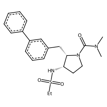 CCS(=O)(=O)N[C@H]1CCN(C(=O)N(C)C)[C@H]1Cc1cccc(-c2ccccc2)c1